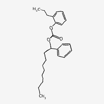 CCCCCCCCC(OC(=O)Oc1ccccc1CCC)c1ccccc1